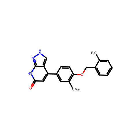 COc1cc(-c2cc(=O)[nH]c3n[nH]cc23)ccc1OCc1ccccc1C(F)(F)F